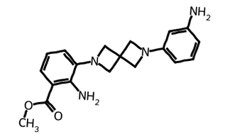 COC(=O)c1cccc(N2CC3(CN(c4cccc(N)c4)C3)C2)c1N